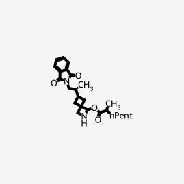 CCCCCC(C)C(=O)OC1NCC12CC([C@H](C)CN1C(=O)c3ccccc3C1=O)C2